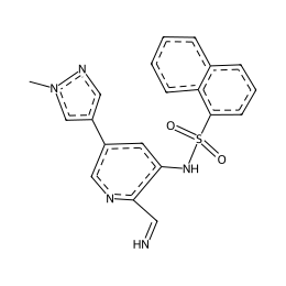 Cn1cc(-c2cnc(C=N)c(NS(=O)(=O)c3cccc4ccccc34)c2)cn1